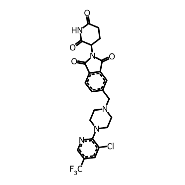 O=C1CCC(N2C(=O)c3ccc(CN4CCN(c5ncc(C(F)(F)F)cc5Cl)CC4)cc3C2=O)C(=O)N1